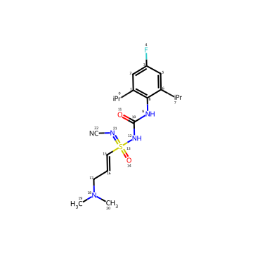 CC(C)c1cc(F)cc(C(C)C)c1NC(=O)NS(=O)(/C=C/CN(C)C)=NC#N